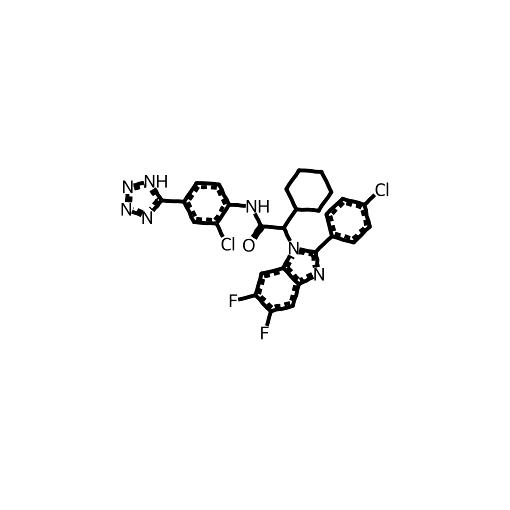 O=C(Nc1ccc(-c2nnn[nH]2)cc1Cl)C(C1CCCCC1)n1c(-c2ccc(Cl)cc2)nc2cc(F)c(F)cc21